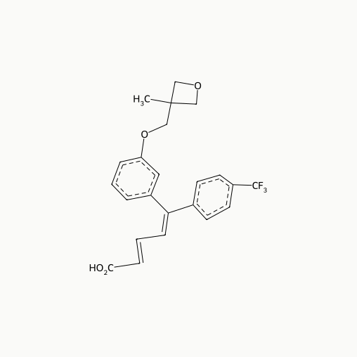 CC1(COc2cccc(/C(=C\C=C\C(=O)O)c3ccc(C(F)(F)F)cc3)c2)COC1